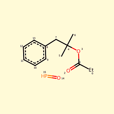 CCC(=O)OC(C)(C)Cc1ccccc1.O=P